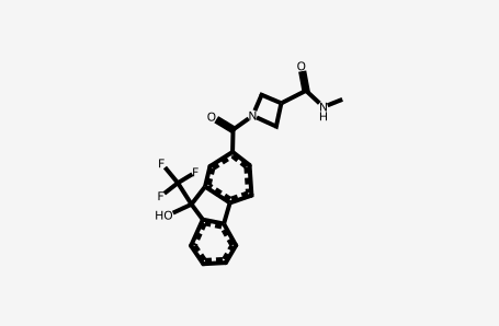 CNC(=O)C1CN(C(=O)c2ccc3c(c2)C(O)(C(F)(F)F)c2ccccc2-3)C1